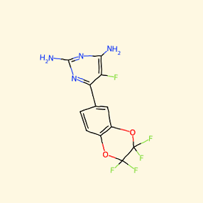 Nc1nc(N)c(F)c(-c2ccc3c(c2)OC(F)(F)C(F)(F)O3)n1